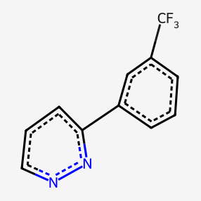 FC(F)(F)c1cccc(-c2cccnn2)c1